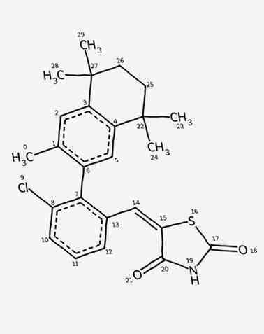 Cc1cc2c(cc1-c1c(Cl)cccc1/C=C1/SC(=O)NC1=O)C(C)(C)CCC2(C)C